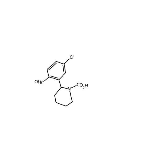 O=Cc1ccc(Cl)cc1C1CCCCN1C(=O)O